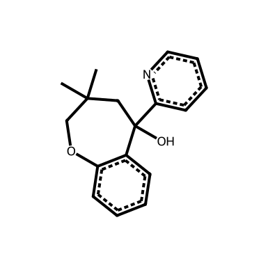 CC1(C)COc2ccccc2C(O)(c2ccccn2)C1